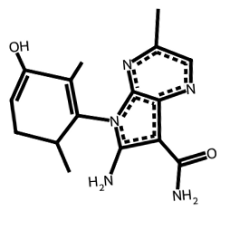 CC1=C(n2c(N)c(C(N)=O)c3ncc(C)nc32)C(C)CC=C1O